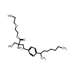 CCCCCCC(C)c1ccc(CCC(N)(CO)C(=O)OCCOCCO)cc1